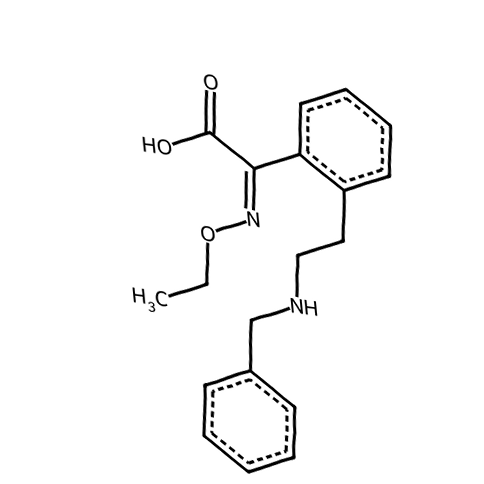 CCON=C(C(=O)O)c1ccccc1CCNCc1ccccc1